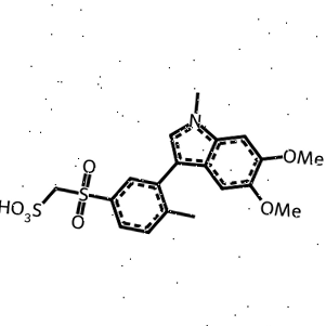 COc1cc2c(-c3cc(S(=O)(=O)CS(=O)(=O)O)ccc3C)cn(C)c2cc1OC